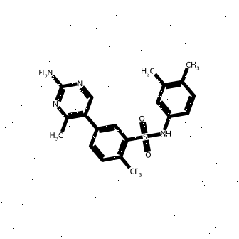 Cc1ccc(NS(=O)(=O)c2cc(-c3cnc(N)nc3C)ccc2C(F)(F)F)cc1C